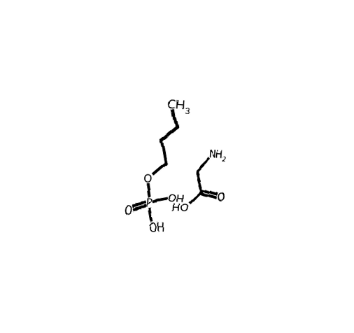 CCCCOP(=O)(O)O.NCC(=O)O